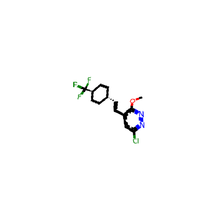 COc1nnc(Cl)cc1/C=C/[C@H]1CC[C@H](C(F)(F)F)CC1